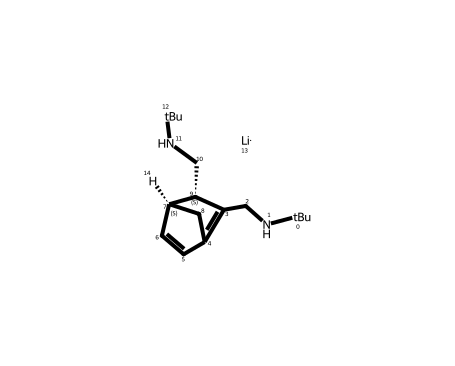 CC(C)(C)NCC1=C2C=C[C@H](C2)[C@@H]1CNC(C)(C)C.[Li]